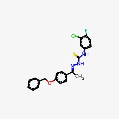 C/C(=N\NC(=S)Nc1ccc(F)c(Cl)c1)c1ccc(OCc2ccccc2)cc1